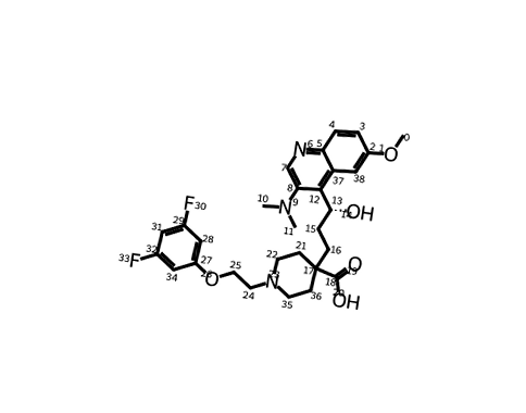 COc1ccc2ncc(N(C)C)c([C@H](O)CCC3(C(=O)O)CCN(CCOc4cc(F)cc(F)c4)CC3)c2c1